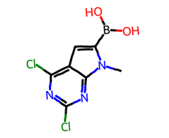 Cn1c(B(O)O)cc2c(Cl)nc(Cl)nc21